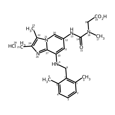 Cc1cccc(C)c1CNc1cc(NC(=O)N(C)CC(=O)O)cn2c(C)c(C)nc12.Cl